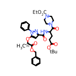 CCOC(=O)N1CCN(C(=O)C(CCC(=O)OC(C)(C)C)NC(=O)c2cc(O[C@@H](C)C(=O)OCc3ccccc3)n(-c3ccccc3)n2)CC1